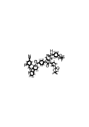 CC(C)(C)OC(=O)N1CC[C@H](n2c(=O)n(-c3ccc(C(=O)N4CCc5c(n(Cc6ccc(C#N)cc6F)c6ncccc56)C4)cc3)c3cnc(Nc4ccc(OC(F)(F)F)cc4)nc32)C1